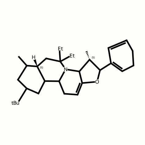 CCC1(CC)C[C@H]2C(C)CC(C(C)(C)C)CC2C2CC=C3OC(C4=CCCC=C4)[C@@H](C)C3N21